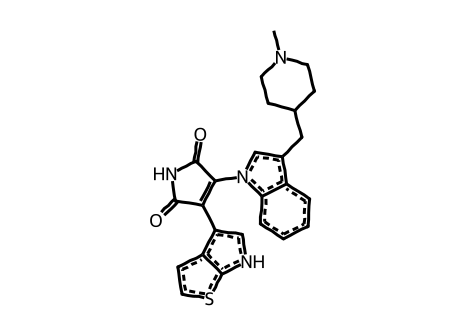 CN1CCC(Cc2cn(C3=C(c4c[nH]c5sccc45)C(=O)NC3=O)c3ccccc23)CC1